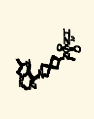 Cc1cn2ncnc(N3CC4(CC(N(C)S(N)(=O)=O)C4)C3)c2n1